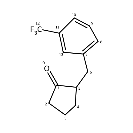 O=C1CCCC1Cc1cccc(C(F)(F)F)c1